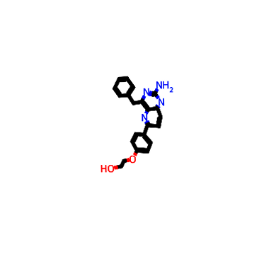 Nc1nc(Cc2ccccc2)c2nc(-c3ccc(OCCO)cc3)ccc2n1